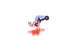 C[C@@]1(O)[C@H](O)[C@@H](COP(=O)(O)OP(=O)(O)OP(=O)(O)O)O[C@H]1n1cc(C#Cc2ccccc2)c2c(N)ncnc21